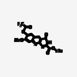 CCCCOC(=O)c1nc2nc3cc(OC)c(OC(=O)C(F)(F)F)cc3cc2c(=O)[nH]1